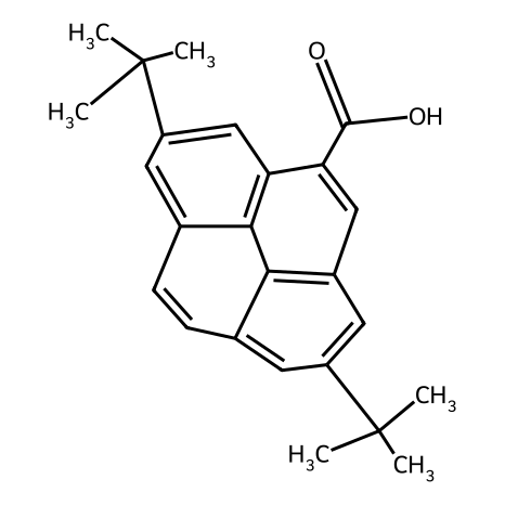 CC(C)(C)c1cc2ccc3cc(C(C)(C)C)cc4c(C(=O)O)cc(c1)c2c34